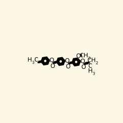 C=C(C)C(=O)Oc1ccc(C(=O)Oc2ccc(C(=O)Oc3ccc(CC)cc3)cc2)cc1OC